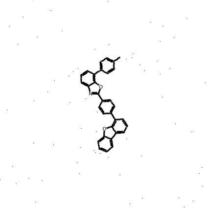 Cc1ccc(-c2cccc3nc(-c4ccc(-c5cccc6c5oc5ccccc56)cc4)oc23)cc1